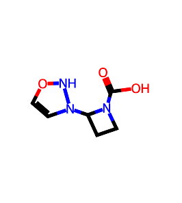 O=C(O)N1CCC1N1C=CON1